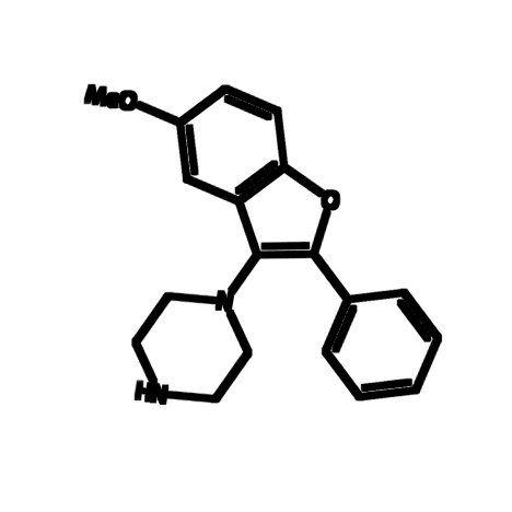 COc1ccc2oc(-c3ccccc3)c(N3CCNCC3)c2c1